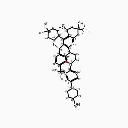 CC1(C)Cc2nc(C3CCN(c4ncc(N5CCC(O)CC5)cn4)CC3)c([C@@H](F)c3ccc(C(F)(F)F)cc3)c(C3CCC(F)(F)CC3)c2[C@@H](O)C1